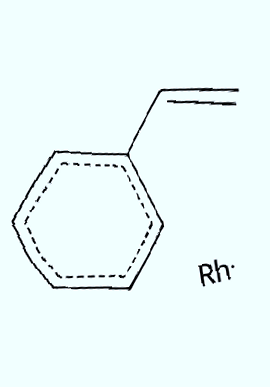 C=Cc1ccccc1.[Rh]